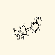 Nc1ccnc(N2CC[C@@]3(CCO3)C(F)(F)C2)n1